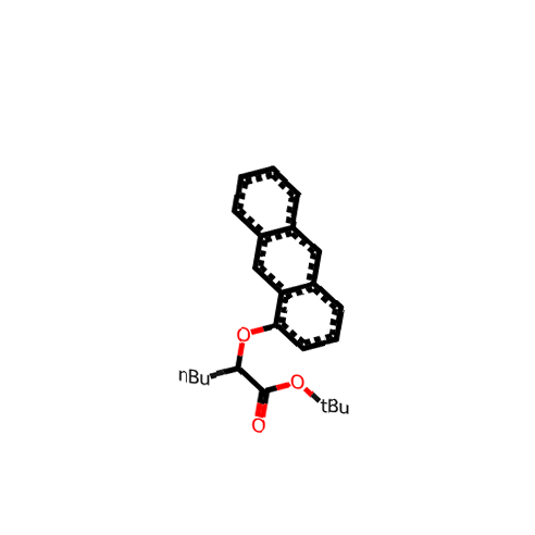 CCCCC(Oc1cccc2cc3ccccc3cc12)C(=O)OC(C)(C)C